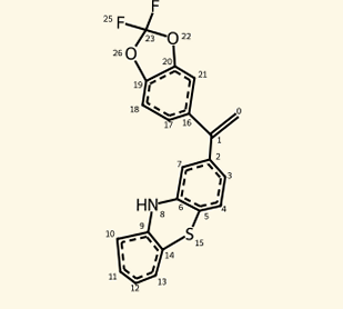 C=C(c1ccc2c(c1)Nc1ccccc1S2)c1ccc2c(c1)OC(F)(F)O2